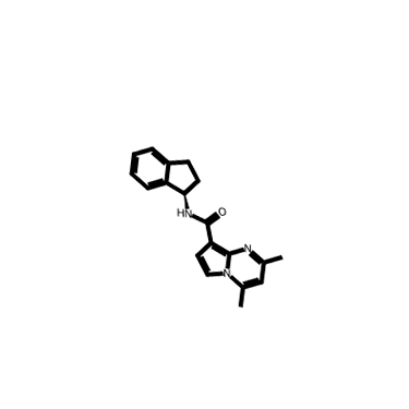 Cc1cc(C)n2ccc(C(=O)N[C@@H]3CCc4ccccc43)c2n1